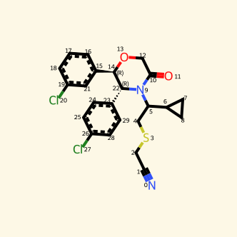 N#CCSCC(C1CC1)N1C(=O)CO[C@H](c2cccc(Cl)c2)[C@H]1c1ccc(Cl)cc1